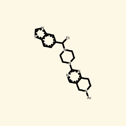 CCC(c1ccc2scnc2c1)N1CCN(c2ncc3c(n2)CCN(C(C)=O)C3)CC1